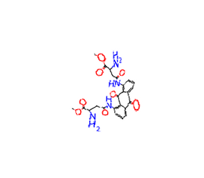 COC(=O)C(N)CC(=O)Nc1cccc2c1C(=O)c1c(NC(=O)CC(N)C(=O)OC)cccc1C2=O